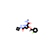 CNC(=O)c1[nH]c(C(=O)NC2CCC2)cc1O[C@H](C)c1ccccc1F